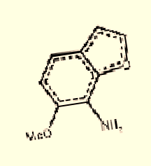 COc1ccc2[c]coc2c1N